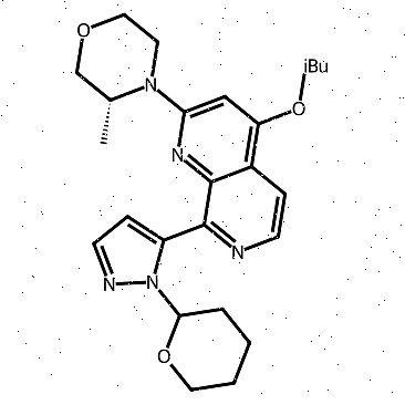 CCC(C)Oc1cc(N2CCOC[C@H]2C)nc2c(-c3ccnn3C3CCCCO3)nccc12